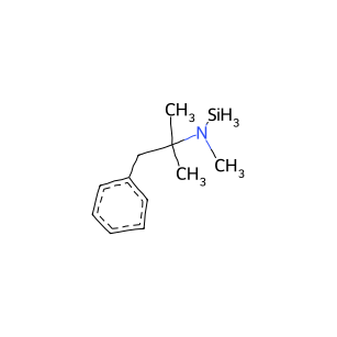 CN([SiH3])C(C)(C)Cc1ccccc1